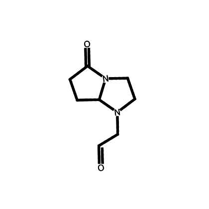 O=CCN1CCN2C(=O)CCC12